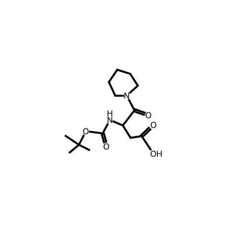 CC(C)(C)OC(=O)NC(CC(=O)O)C(=O)N1CCCCC1